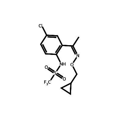 C/C(=N/OCC1CC1)c1cc(Cl)ccc1NS(=O)(=O)C(F)(F)F